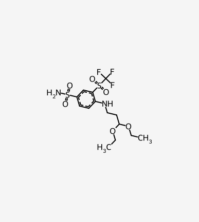 CCOC(CCNc1ccc(S(N)(=O)=O)cc1S(=O)(=O)C(F)(F)F)OCC